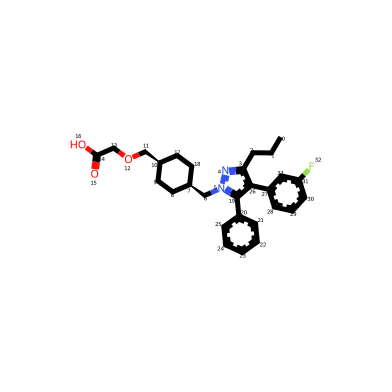 CCCc1nn(C[C@H]2CC[C@@H](COCC(=O)O)CC2)c(-c2ccccc2)c1-c1cccc(F)c1